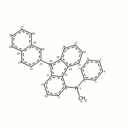 CN(c1ccccc1)c1cccc2c1c1ccccc1n2-c1ccc2ccccc2c1